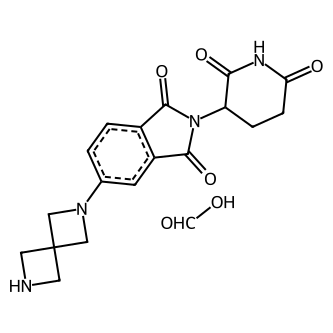 O=C1CCC(N2C(=O)c3ccc(N4CC5(CNC5)C4)cc3C2=O)C(=O)N1.O=CO